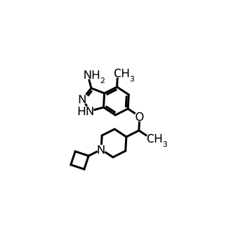 Cc1cc(OC(C)C2CCN(C3CCC3)CC2)cc2[nH]nc(N)c12